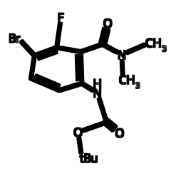 CN(C)C(=O)c1c(NC(=O)OC(C)(C)C)ccc(Br)c1F